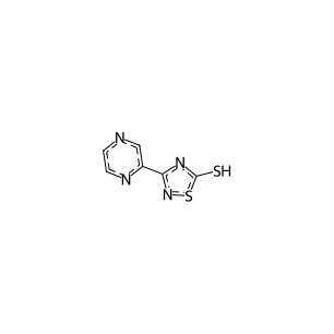 Sc1nc(-c2cnccn2)ns1